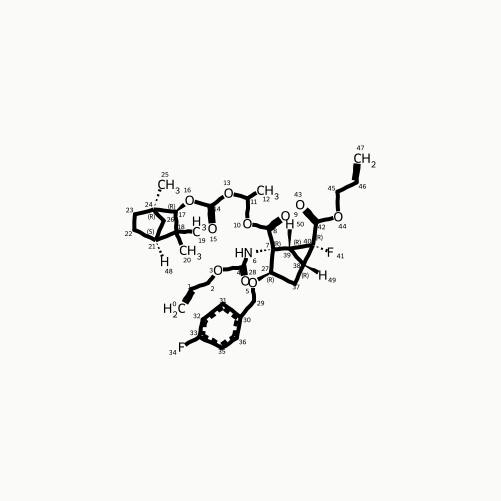 C=CCOC(=O)N[C@@]1(C(=O)OC(C)OC(=O)O[C@H]2C(C)(C)[C@H]3CC[C@]2(C)C3)[C@H](OCc2ccc(F)cc2)C[C@@H]2[C@H]1[C@@]2(F)C(=O)OCC=C